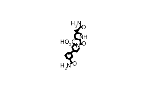 NC(=O)c1cccc(C2=CCN(C(=O)C3NCC4(CC3C(=O)O)CC4C(N)=O)CC2)c1